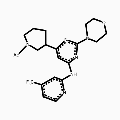 CC(=O)N1CCCC(c2cc(Nc3cc(C(F)(F)F)ccn3)nc(N3CCOCC3)n2)C1